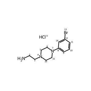 Cl.NCCN1CCN(c2cccc(Br)c2)CC1